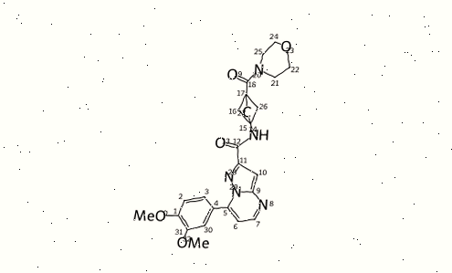 COc1ccc(-c2ccnc3cc(C(=O)NC45CC(C(=O)N6CCOCC6)(C4)C5)nn23)cc1OC